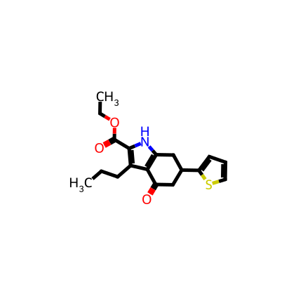 CCCc1c(C(=O)OCC)[nH]c2c1C(=O)CC(c1cccs1)C2